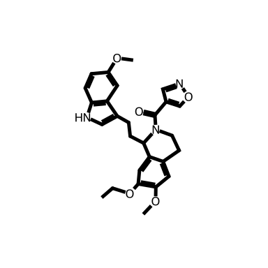 CCOc1cc2c(cc1OC)CCN(C(=O)c1cnoc1)C2CCc1c[nH]c2ccc(OC)cc12